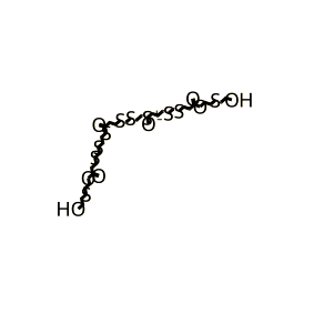 O=C(CCSCSCCC[S+]([O-])CCSCSCCC(=O)SCCSCSCCC(=O)OCCSCCO)OCCSCCO